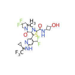 C[C@H]1CC(F)(F)CN1C(=O)c1nc(C(=O)NC2CC(O)C2)sc1-c1cnc(N[C@@H](C2CC2)C(F)(F)F)cc1C(F)F